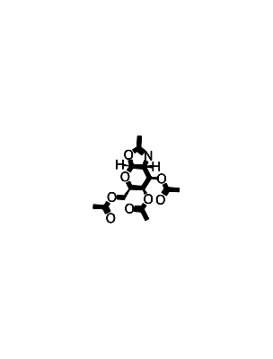 CC(=O)OC[C@H]1O[C@H]2OC(C)=N[C@@H]2[C@@H](OC(C)=O)[C@H]1OC(C)=O